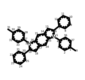 Cc1ccc(-n2c(-c3ccccc3)cc3cc4c(cc(-c5ccccc5)n4-c4ccc(C)cc4)cc32)cc1